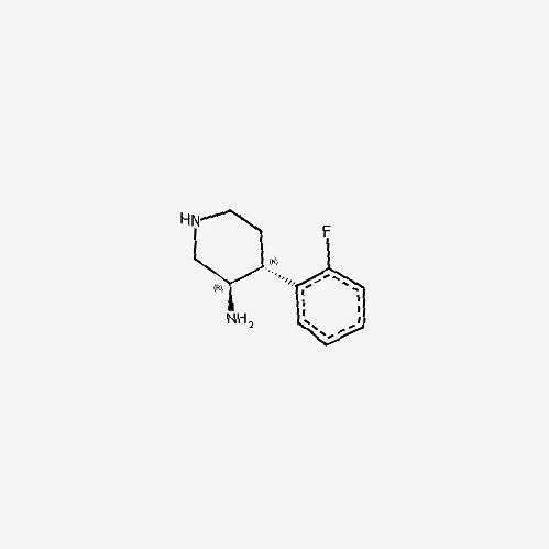 N[C@H]1CNCC[C@@H]1c1ccccc1F